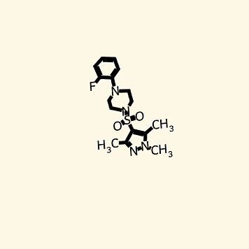 Cc1nn(C)c(C)c1S(=O)(=O)N1CCN(c2ccccc2F)CC1